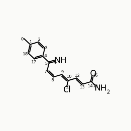 Cc1ccc(C(=N)\C=C/C=C(Cl)/C=C/C(N)=O)cc1